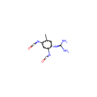 Cc1ccc(N=C=O)cc1N=C=O.N=C(N)N